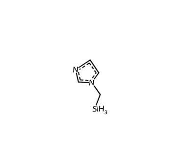 [SiH3]Cn1ccnc1